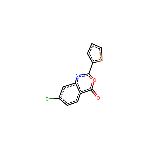 O=c1oc(-c2cccs2)nc2cc(Cl)ccc12